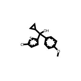 COc1ccc(C(O)(c2ccc(Cl)s2)C2CC2)cc1